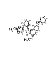 CCN(Cc1ccc(Oc2ccccc2)cc1)[C@H]1CCN(c2ncccc2C(=O)OC(C)C)C1